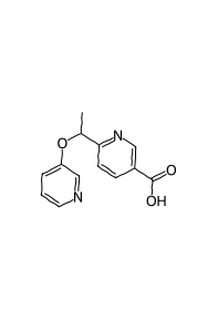 CC(Oc1cccnc1)c1ccc(C(=O)O)cn1